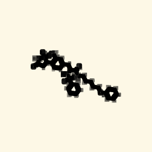 O=C1CC(c2ccc(CC(NS(=O)(=O)c3ccccc3)C(=O)NCCCCCOc3ccccc3)cc2Cl)S(=O)(=O)N1